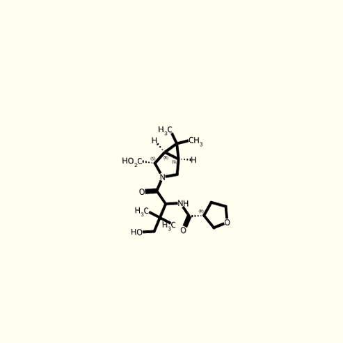 CC(C)(CO)C(NC(=O)[C@@H]1CCOC1)C(=O)N1C[C@H]2[C@@H]([C@H]1C(=O)O)C2(C)C